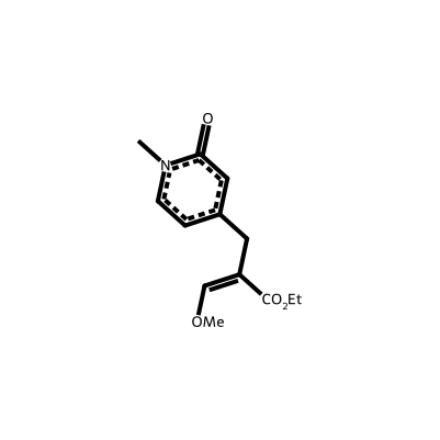 CCOC(=O)C(=COC)Cc1ccn(C)c(=O)c1